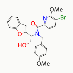 COc1ccc(CN(C(=O)c2ccc(Br)c(OC)n2)[C@H](CO)c2cc3ccccc3o2)cc1